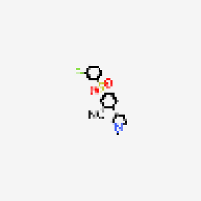 CN1CC[C@@H](C2C=CC(S(=O)(=O)c3cccc(F)c3)=CC2C#N)C1